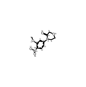 COc1cc(N2CCOCC2=O)ccc1[N+](=O)[O-]